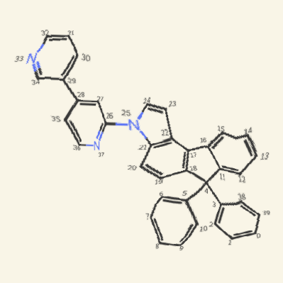 c1ccc(C2(c3ccccc3)c3ccccc3-c3c2ccc2c3ccn2-c2cc(-c3cccnc3)ccn2)cc1